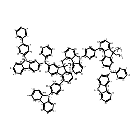 CC1(C)c2cc(N(c3ccccc3)c3ccc4sc5ccccc5c4c3)ccc2-c2c(-c3ccc(-n4c5ccccc5c5c(CC6(C)c7cc(N(c8ccccc8)c8ccc9c%10ccccc%10n(-c%10ccc(-c%11ccccc%11)cc%10)c9c8)ccc7-c7c(-c8ccc(-n9c%10ccccc%10c%10ccccc%109)cc8)cccc76)cccc54)cc3)cccc21